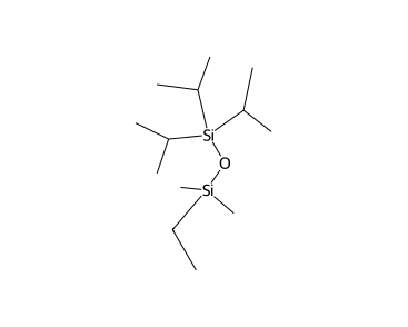 CC[Si](C)(C)O[Si](C(C)C)(C(C)C)C(C)C